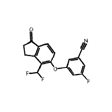 N#Cc1cc(F)cc(Oc2ccc3c(c2C(F)F)CCC3=O)c1